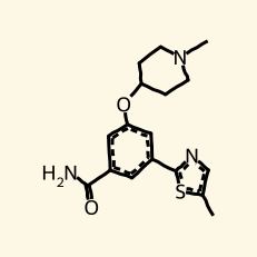 Cc1cnc(-c2cc(OC3CCN(C)CC3)cc(C(N)=O)c2)s1